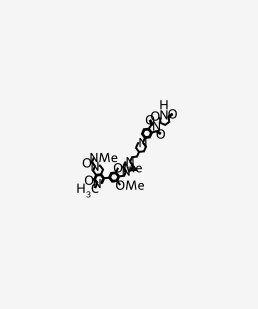 CNC(=O)N1CCc2c(-c3cc(OC)c(CN4CCN(CCC5CCN(c6ccc7c(c6)C(=O)N(C6CCC(=O)NC6=O)C7=O)CC5)C5CC54)c(OC)c3)cn(C)c(=O)c2C1